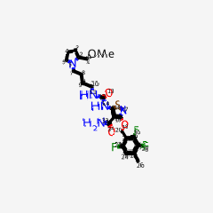 COCC1CCCN1CCCCNC(=O)Nc1snc(OCc2c(F)cc(C)c(F)c2F)c1C(N)=O